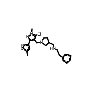 Cc1cc(-c2nn(C)c(Cl)c2CN2CCC(CNCCc3ccccc3)C2)no1